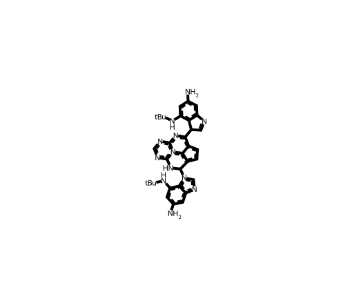 CC(C)(C)Nc1cc(N)cc2c1C(c1nc3ncnc4n3c3c(ccc1-3)C(n1cnc3cc(N)cc(NC(C)(C)C)c31)N4)C=N2